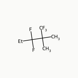 CCC(F)(F)C(C)(C)C(F)(F)F